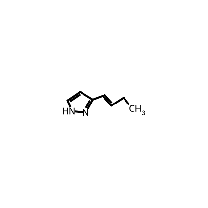 CCC=Cc1cc[nH]n1